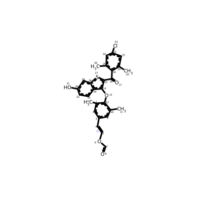 Cc1cc(/C=C/OC=O)cc(C)c1Oc1c(C(=O)c2c(C)cc(Cl)cc2C)sc2cc(O)ccc12